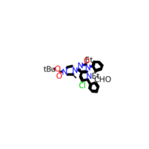 CCc1cccc(CC)c1-n1c(=O)nc(N2CCN(C(=O)OC(C)(C)C)C[C@@H]2C)c2cc(Cl)c(-c3ccccc3C=O)nc21